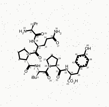 CC[C@H](C)[C@H](NC(=O)[C@@H]1CCCN1C(=O)[C@H](CCC(N)=O)NC(=O)[C@@H](N)C(C)C)C(=O)N1CCC[C@H]1C(=O)N[C@@H](Cc1ccc(O)cc1)C(=O)O